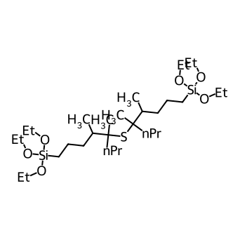 CCCC(C)(SC(C)(CCC)C(C)CCC[Si](OCC)(OCC)OCC)C(C)CCC[Si](OCC)(OCC)OCC